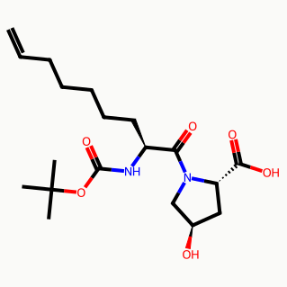 C=CCCCCC[C@H](NC(=O)OC(C)(C)C)C(=O)N1C[C@H](O)C[C@H]1C(=O)O